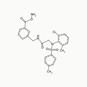 Cc1ccc(S(=O)(=O)N(CC(=O)NCc2cccc(C(=O)ON)c2)c2c(C)cccc2Cl)cc1